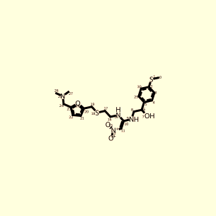 CSc1ccc(C(O)CNC(=C[N+](=O)[O-])NCCSCc2ccc(CN(C)C)o2)cc1